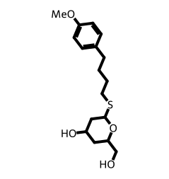 COc1ccc(CCCCSC2CC(O)CC(CO)O2)cc1